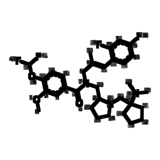 COc1cc(C(=O)N(CC(C)=Cc2ccc(F)cc2F)CC2CCCN2CC2(N(C)C)CCCC2)ccc1OC(F)F